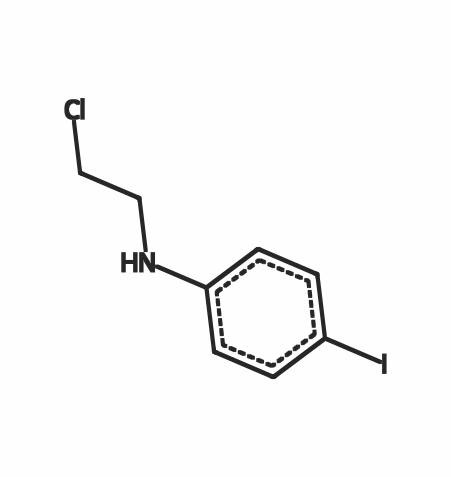 ClCCNc1ccc(I)cc1